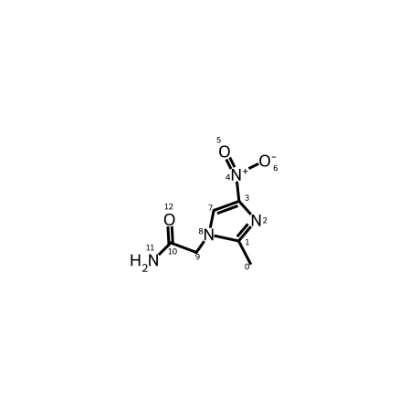 Cc1nc([N+](=O)[O-])cn1CC(N)=O